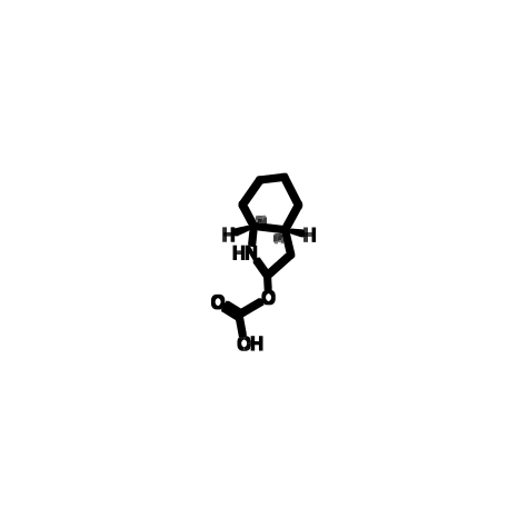 O=C(O)OC1C[C@H]2CCCC[C@H]2N1